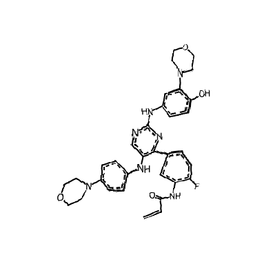 C=CC(=O)Nc1cc(-c2nc(Nc3ccc(O)c(N4CCOCC4)c3)ncc2Nc2ccc(N3CCOCC3)cc2)ccc1F